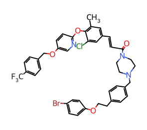 Cc1cc(/C=C/C(=O)N2CCN(Cc3ccc(CCOc4ccc(Br)cc4)cc3)CC2)cc(Cl)c1Oc1ccc(OCc2ccc(C(F)(F)F)cc2)cn1